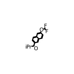 CC(C)C(=O)c1ccc2cc(OC(F)F)ccc2c1